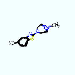 CN1CCN(c2nc3cc(C#N)ccc3s2)CC1